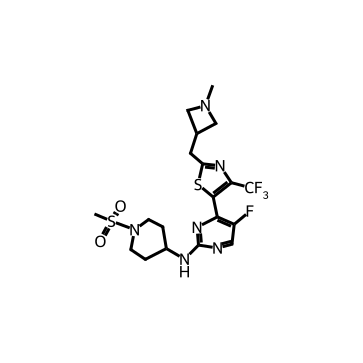 CN1CC(Cc2nc(C(F)(F)F)c(-c3nc(NC4CCN(S(C)(=O)=O)CC4)ncc3F)s2)C1